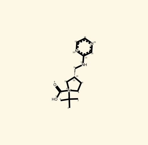 CC(C)(C)[N+]1(C(=O)O)CC[C@@H](CNc2cnccn2)C1